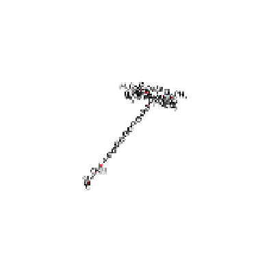 C=C1C[C@H]2[C@H](C)N(B(C)O)c3cc(OCc4cc(C=COCCOCCOCCOCCOCCOCCOCCOCCOCCOCCOCCOCCNC(=O)CCCCCN5C(=O)C=CC5=O)cc(COc5cc6c(cc5C)C(=O)N5CC(=C)C[C@H]5[C@H](OC5CCCCO5)N6B(C)O)c4)c(OC)cc3C(=O)N2C1